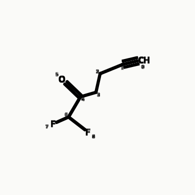 C#CCCC(=O)C(F)F